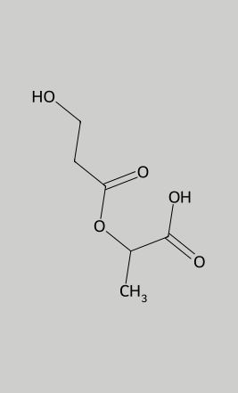 CC(OC(=O)CCO)C(=O)O